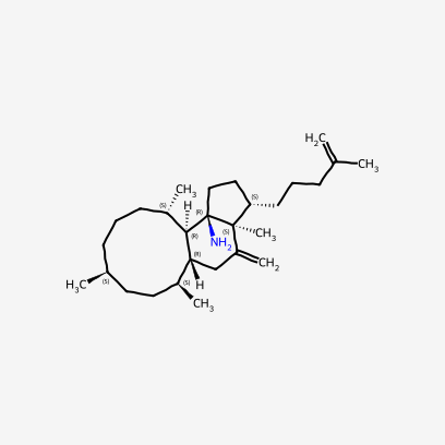 C=C(C)CCC[C@H]1CC[C@@]2(N)[C@H]3[C@H](CC(=C)[C@]12C)[C@@H](C)CC[C@@H](C)CCC[C@@H]3C